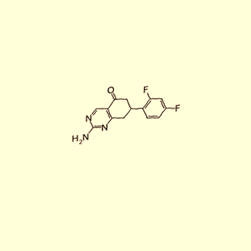 Nc1ncc2c(n1)CC(c1ccc(F)cc1F)CC2=O